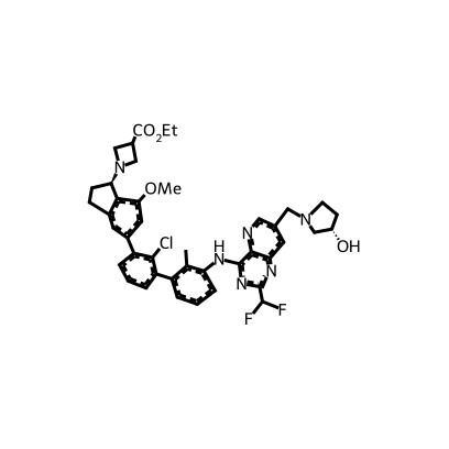 CCOC(=O)C1CN([C@@H]2CCc3cc(-c4cccc(-c5cccc(Nc6nc(C(F)F)nc7cc(CN8CC[C@H](O)C8)cnc67)c5C)c4Cl)cc(OC)c32)C1